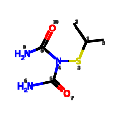 CC(C)SN(C(N)=O)C(N)=O